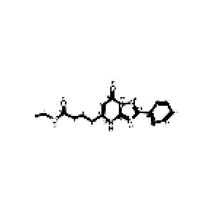 CCOC(=O)CCCc1cc(=O)n2nc(-c3ccccc3)nc2[nH]1